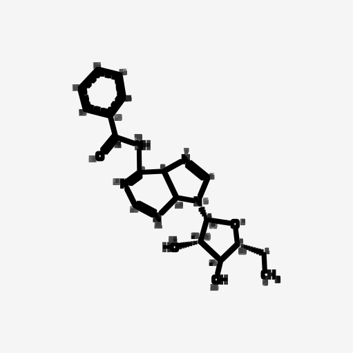 CC[C@H]1O[C@@H](N2C=NC3C(NC(=O)c4ccccc4)=NC=NC32)[C@@H](O)C1O